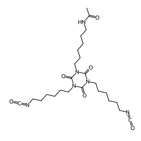 CC(=O)NCCCCCCn1c(=O)n(CCCCCCN=C=O)c(=O)n(CCCCCCN=C=O)c1=O